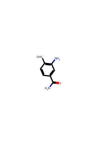 NC(=O)c1ccc(C=O)c(N)c1